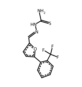 NC(=S)NN=Cc1ccc(-c2ccccc2C(F)(F)F)o1